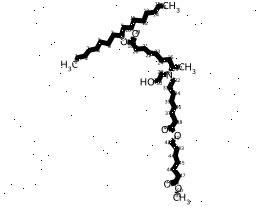 CCCCCCCCC(CCCCCCCC)OC(=O)CCCCCCC(C)N(CCO)CCCCCCCC(=O)OCCCCCCC(=O)OC